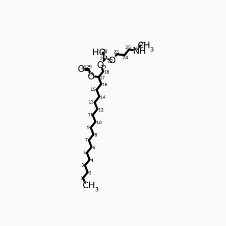 CCCCCCCCCCCCCCCCCC(COP(O)OCCCNC)OC=O